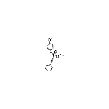 CCOP(=O)(C#Cc1ccccc1)Oc1ccc(OC)cc1